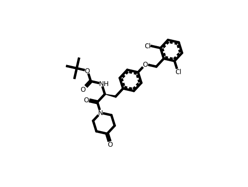 CC(C)(C)OC(=O)N[C@@H](Cc1ccc(OCc2c(Cl)cccc2Cl)cc1)C(=O)N1CCC(=O)CC1